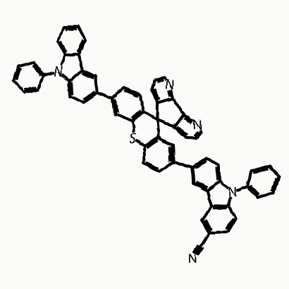 N#Cc1ccc2c(c1)c1cc(-c3ccc4c(c3)C3(c5ccc(-c6ccc7c(c6)c6ccccc6n7-c6ccccc6)cc5S4)c4cccnc4-c4ncccc43)ccc1n2-c1ccccc1